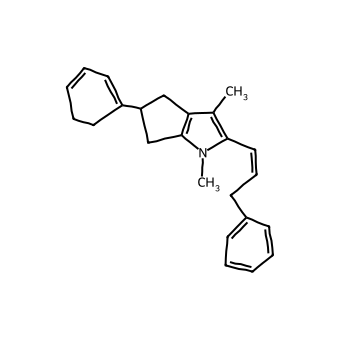 Cc1c2c(n(C)c1/C=C\Cc1ccccc1)CC(C1=CC=CCC1)C2